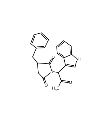 CC(=O)C(c1c[nH]c2ccccc12)N1C(=O)CC(Cc2ccccc2)C1=O